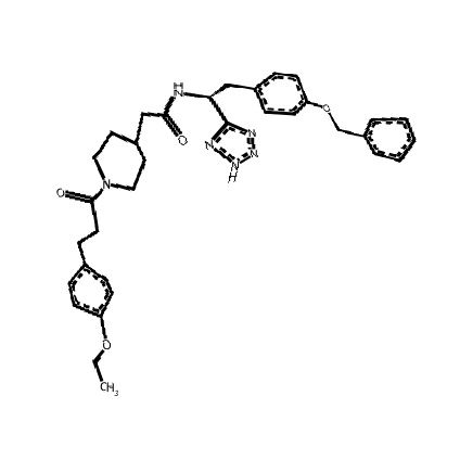 CCOc1ccc(CCC(=O)N2CCC(CC(=O)N[C@@H](Cc3ccc(OCc4ccccc4)cc3)c3nn[nH]n3)CC2)cc1